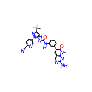 CNc1ncc2cc(-c3cccc(NC(=O)Nc4cc(C(C)(C)C)nn4-c4ccc(C#N)nc4)c3)c(=O)n(C)c2n1